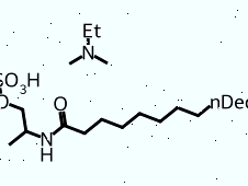 CCCCCCCCCCCCCCCCCC(=O)NC(C)COS(=O)(=O)O.CCN(C)C